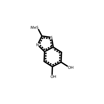 [CH2]Sc1nc2cc(O)c(O)cc2s1